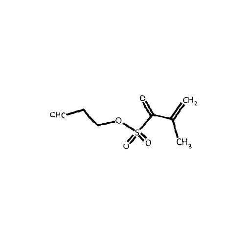 C=C(C)C(=O)S(=O)(=O)OCCC=O